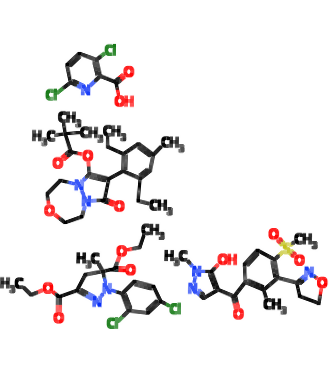 CCOC(=O)C1=NN(c2ccc(Cl)cc2Cl)C(C)(C(=O)OCC)C1.CCc1cc(C)cc(CC)c1-c1c(OC(=O)C(C)(C)C)n2n(c1=O)CCOCC2.Cc1c(C(=O)c2cnn(C)c2O)ccc(S(C)(=O)=O)c1C1=NOCC1.O=C(O)c1nc(Cl)ccc1Cl